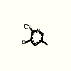 [C-]#[N+]c1ncc(C)cc1F